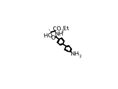 CCOC(=O)[C@@H](NC(=O)c1ccc(-c2ccc(N)cc2)cc1)[C@@H](C)O